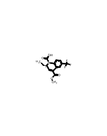 CC[C@@H]1C=C(C(=O)OC)c2cc(C(F)(F)F)ccc2N1C(=O)O